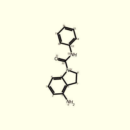 Nc1cccc2c1CCN2C(=O)Nc1ccccc1